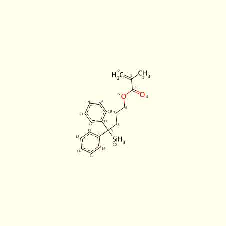 C=C(C)C(=O)OCCCC([SiH3])(c1ccccc1)c1ccccc1